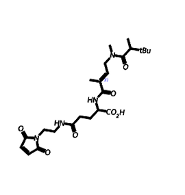 C/C(=C\CN(C)C(=O)C(C)C(C)(C)C)C(=O)NC(CCC(=O)NCCN1C(=O)C=CC1=O)C(=O)O